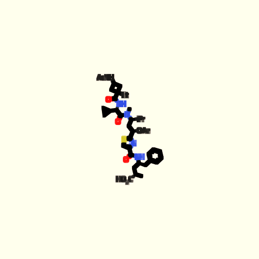 CCC1(C(=O)N[C@H](C(=O)N(C)[C@H](C[C@@H](OC(C)=O)c2nc(C(=O)N[C@@H](Cc3ccccc3)C[C@H](C)C(=O)O)cs2)C(C)C)C2CC2)CC(NC(C)=O)C1